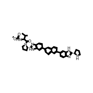 COC(=O)NC(C(=O)N1CCC[C@H]1c1nc2ccc(-c3ccc4cc(-c5ccc6nc([C@@H]7CCCN7)[nH]c6c5)ccc4c3)cc2[nH]1)C(C)C